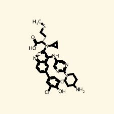 CSCC[C@@H](C(=O)O)N(c1cnc2ccc(-c3cc(Cl)c(O)c(Cl)c3)cc2c1Nc1cnc(N2CCC(N)CC2)nc1)C1CC1